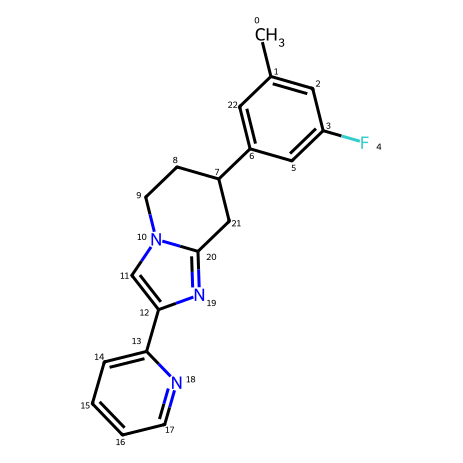 Cc1cc(F)cc(C2CCn3cc(-c4ccccn4)nc3C2)c1